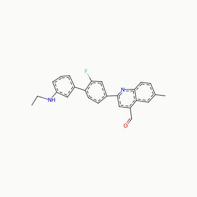 CCNc1cccc(-c2ccc(-c3cc(C=O)c4cc(C)ccc4n3)cc2F)c1